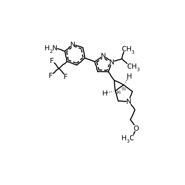 COCCN1C[C@@H]2C(c3cc(-c4cnc(N)c(C(F)(F)F)c4)nn3C(C)C)[C@@H]2C1